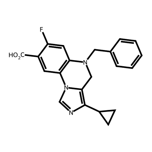 O=C(O)c1cc2c(cc1F)N(Cc1ccccc1)Cc1c(C3CC3)ncn1-2